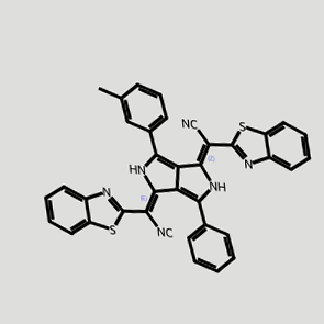 [C-]#[N+]/C(c1nc2ccccc2s1)=c1/[nH]c(-c2cccc(C)c2)c2/c(=C(\C#N)c3nc4ccccc4s3)[nH]c(-c3ccccc3)c12